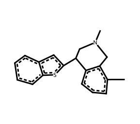 Cc1cccc2c1CN(C)CC2c1cc2ccccc2s1